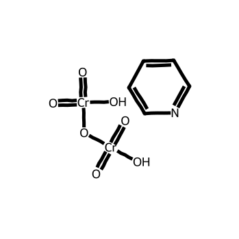 [O]=[Cr](=[O])([OH])[O][Cr](=[O])(=[O])[OH].c1ccncc1